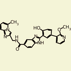 COc1ncccc1-c1ccc(O)c(-c2nc3cc(C(=O)NCc4cn5c(C)cccc5n4)ccc3[nH]2)c1